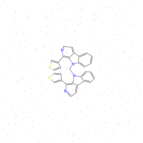 c1ccc2c(c1)c1ccnc(-c3ccsc3)c1n2Cn1c2ccccc2c2ccnc(-c3ccsc3)c21